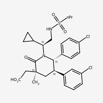 CCCS(=O)(=O)NC[C@H](C1CC1)N1C(=O)[C@](C)(CC(=O)O)C[C@H](c2cccc(Cl)c2)[C@H]1c1ccc(Cl)cc1